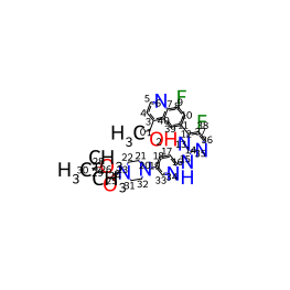 CC(O)c1ccnc2c(F)cc(-c3nc(Nc4ccc(N5CCN(C(=O)OC(C)(C)C)CC5)cn4)ncc3F)cc12